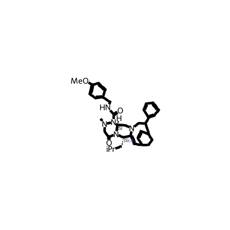 COc1ccc(CNC(=O)N2[C@H]3CN4CC(c5ccccc5)C5C=CC(/C=C\4[C@H](CC(C)C)N3C(=O)CN2C)CC5)cc1